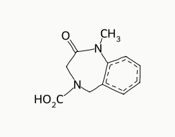 CN1C(=O)CN(C(=O)O)Cc2ccccc21